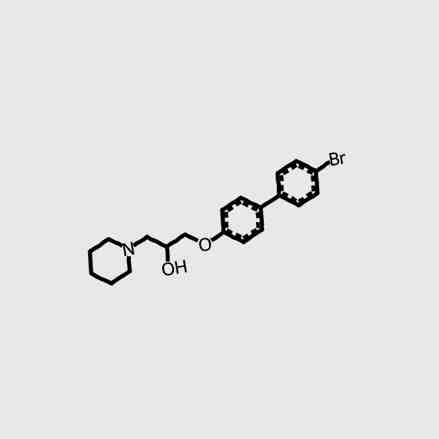 OC(COc1ccc(-c2ccc(Br)cc2)cc1)CN1CCCCC1